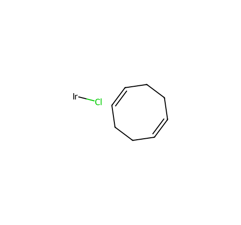 C1=CCCC=CCC1.[Cl][Ir]